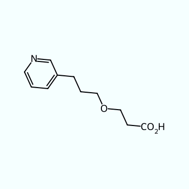 O=C(O)CCOCCCc1cccnc1